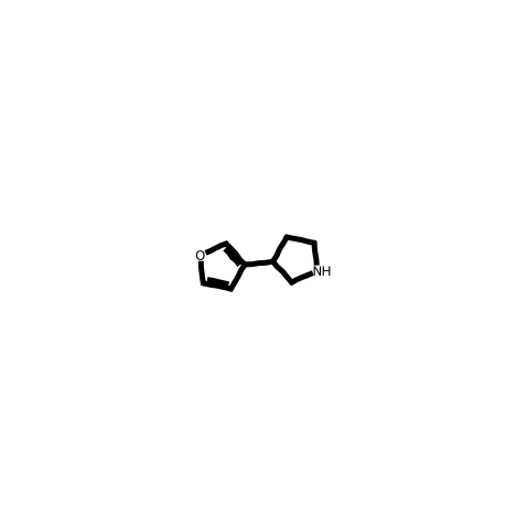 c1cc(C2CCNC2)co1